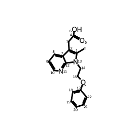 Cc1c(CC(=O)O)c2cccnc2n1CCOc1ccccc1